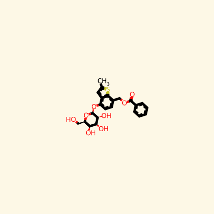 Cc1cc2c(O[C@@H]3O[C@H](CO)[C@H](O)[C@H](O)[C@H]3O)ccc(COC(=O)c3ccccc3)c2s1